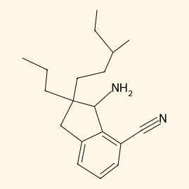 CCCC1(CCC(C)CC)Cc2cccc(C#N)c2C1N